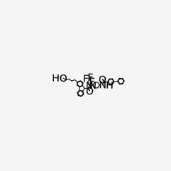 O=C(NC1CCN(N(CC(F)(F)F)C(=O)C2c3ccccc3-c3cc(CCCCO)ccc32)CC1)c1ccc(-c2ccccc2)cc1